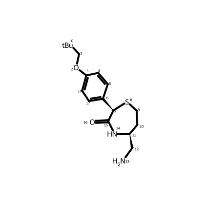 CC(C)(C)COc1ccc([C@H]2SCC[C@@H](CN)NC2=O)cc1